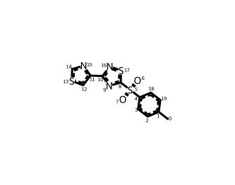 Cc1ccc(S(=O)(=O)c2nc(-c3cscn3)ns2)cc1